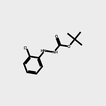 CC(C)(C)OC(=O)NNc1ccccc1Cl